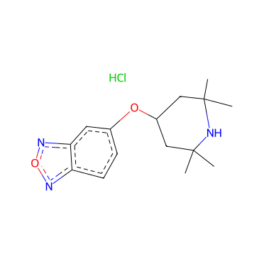 CC1(C)CC(Oc2ccc3nonc3c2)CC(C)(C)N1.Cl